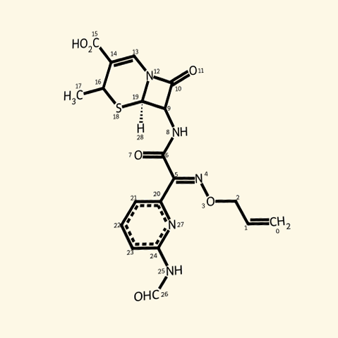 C=CCON=C(C(=O)NC1C(=O)N2C=C(C(=O)O)C(C)S[C@H]12)c1cccc(NC=O)n1